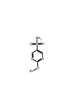 CC(C)Oc1ncc(S(N)(=O)=O)cn1